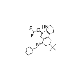 CC(C)(C)C1C/C(=N\Cc2ccccc2)c2cc(OC(F)F)c3c(c2C1)CCCN3